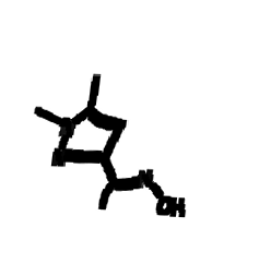 CC(=NO)c1cc(C)n(C)n1